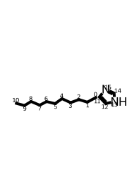 CCCCCCCCCCC.c1c[nH]cn1